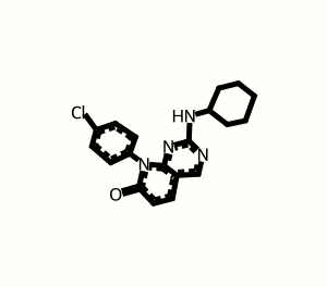 O=c1ccc2cnc(NC3CCCCC3)nc2n1-c1ccc(Cl)cc1